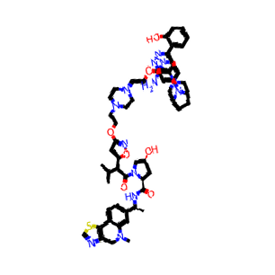 CC(C)C(C(=O)N1C[C@H](O)C[C@H]1C(=O)N[C@@H](C)c1ccc2c(c1)N(C)Cc1ncsc1-2)c1cc(OCCN2CCN(CCOc3cc(N4C5CCC4CN(c4cc(-c6ccccc6O)nnc4N)C5)ccn3)CC2)no1